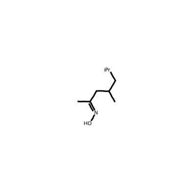 CC(CC(C)CC(C)C)=NO